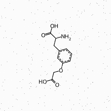 NC(Cc1cccc(OCC(=O)O)c1)C(=O)O